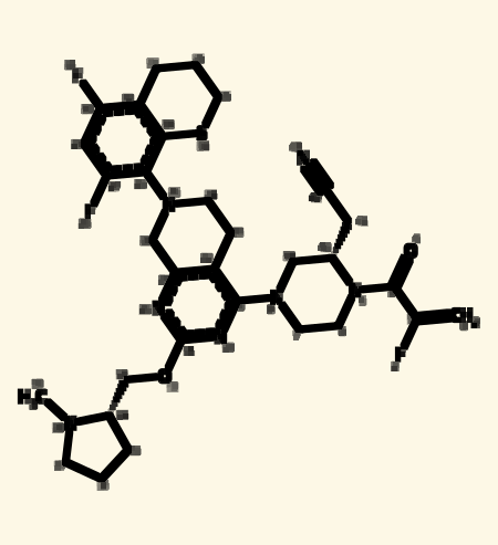 C=C(F)C(=O)N1CCN(c2nc(OC[C@@H]3CCCN3C)nc3c2CCN(c2c(F)cc(F)c4c2SCCC4)C3)C[C@@H]1CC#N